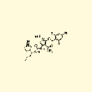 CCCC(NC(=O)Nc1snc(OCc2c(F)cc(Br)cc2F)c1C(N)=O)C1CCNC1.Cl